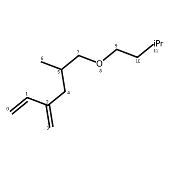 C=CC(=C)CC(C)COCCC(C)C